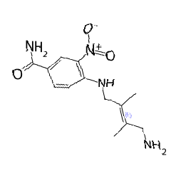 C/C(CN)=C(/C)CNc1ccc(C(N)=O)cc1[N+](=O)[O-]